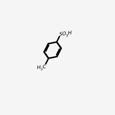 CC1C=CC(S(=O)(=O)O)C=C1